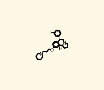 Ic1cccc([C@@H]2CN3CCC[C@H]3c3cc(OCCCN4CCCCC4)ccc32)c1